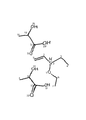 C=C[SiH](CC)OCC.CC(O)C(=O)O.CC(O)C(=O)O